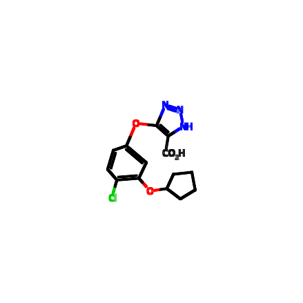 O=C(O)c1[nH]nnc1Oc1ccc(Cl)c(OC2CCCC2)c1